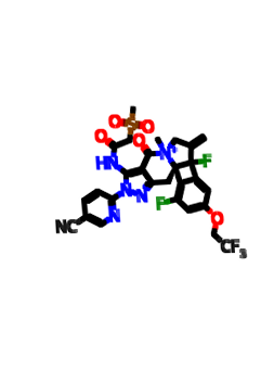 C=C1C[N+]2(C)C(=O)c3c(nn(-c4ccc(C#N)cn4)c3NC(=O)CS(C)(=O)=O)C[C@@]23c2c(F)cc(OCC(F)(F)F)cc2C13F